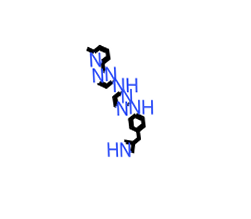 Cc1cccc(-c2nccc(Nc3ccnc(Nc4ccc(CC5CNC5)cc4)n3)n2)n1